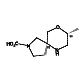 C[C@@H]1CN[C@]2(CCN(C(=O)O)C2)CO1